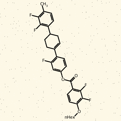 CCCCCCOc1ccc(C(=O)Oc2ccc(C3=CCC(c4ccc(C)c(F)c4F)CC3)c(F)c2)c(F)c1F